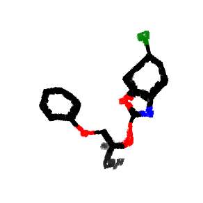 O=C(O)[C@@H](COc1ccccc1)Oc1nc2ccc(Cl)cc2o1